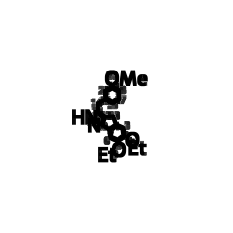 CCOc1cc2c(cc1OCC)-c1n[nH]c(Cc3cccc(OC)c3)c1C2